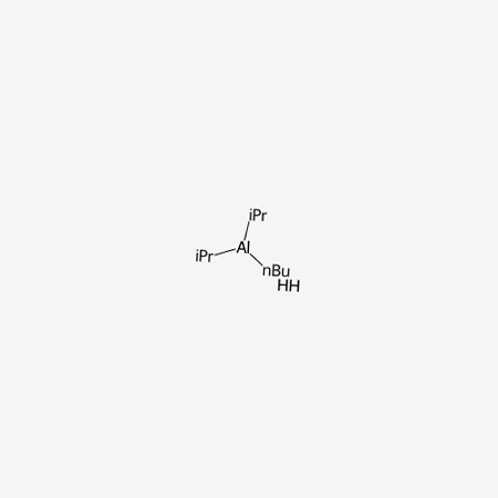 CCC[CH2][Al]([CH](C)C)[CH](C)C.[HH]